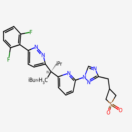 CC[C@H](C)c1cc(-c2c(F)cccc2F)nnc1[C@](C)(c1cccc(-n2cnc(CC3CS(=O)(=O)C3)n2)n1)C(C)C